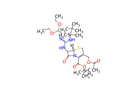 CCOC(CN=C(NC1C(=O)N2C(C(=O)O[Si](C)(C)C)=C(COC(C)=O)CS[C@@H]12)N[Si](C)(C)C(C)(C)C)OCC